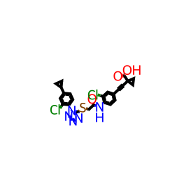 O=C(CSc1nnnn1-c1ccc(C2CC2)cc1Cl)Nc1ccc(C#CC2(C(=O)O)CC2)cc1Cl